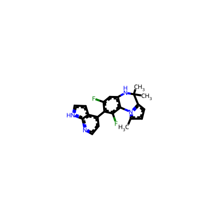 Cc1ccc2n1-c1c(cc(F)c(-c3ccnc4[nH]ccc34)c1F)NC2(C)C